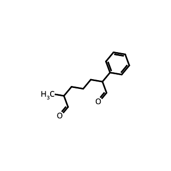 CC(C=O)CCCC(C=O)c1ccccc1